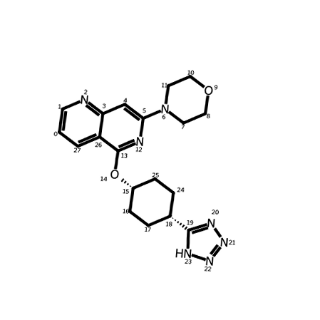 c1cnc2cc(N3CCOCC3)nc(O[C@H]3CC[C@@H](c4nnn[nH]4)CC3)c2c1